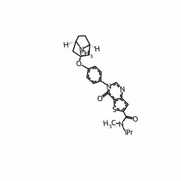 CC(C)N(C)C(=O)c1cc2ncn(-c3ccc(O[C@H]4C[C@H]5CC[C@@H](C4)N5C)cc3)c(=O)c2s1